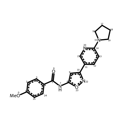 COc1ccc(C(=O)Nc2cc(-c3ccc(N4CCCC4)nc3)no2)cc1